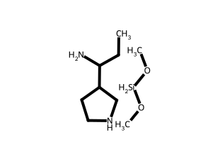 CCC(N)C1CCNC1.CO[SiH2]OC